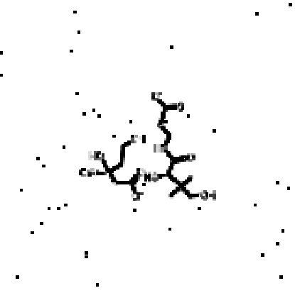 CC(C)(CO)[C@@H](O)C(=O)NCCC(=O)[O-].C[C@@](O)(CCO)CC(=O)[O-].[Ca+2]